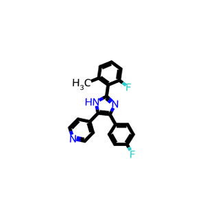 Cc1cccc(F)c1-c1nc(-c2ccc(F)cc2)c(-c2ccncc2)[nH]1